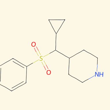 O=S(=O)(c1ccccc1)C(C1CCNCC1)C1CC1